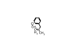 CCl.CN(C)Cc1ccccc1